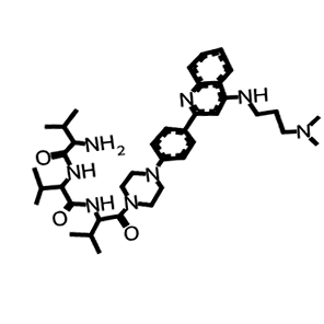 CC(C)C(N)C(=O)NC(C(=O)NC(C(=O)N1CCN(c2ccc(-c3cc(NCCCN(C)C)c4ccccc4n3)cc2)CC1)C(C)C)C(C)C